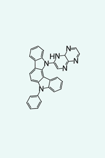 C1=NC2=NC=C(n3c4ccccc4c4ccc5c(c6ccccc6n5-c5ccccc5)c43)NC2N=C1